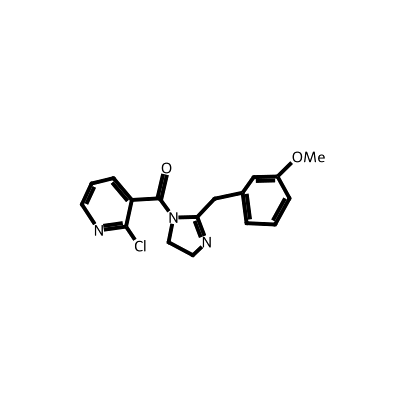 COc1cccc(CC2=NCCN2C(=O)c2cccnc2Cl)c1